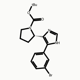 CC(C)(C)OC(=O)N1CCC[C@H]1c1nc[nH]c1-c1cccc(Br)c1